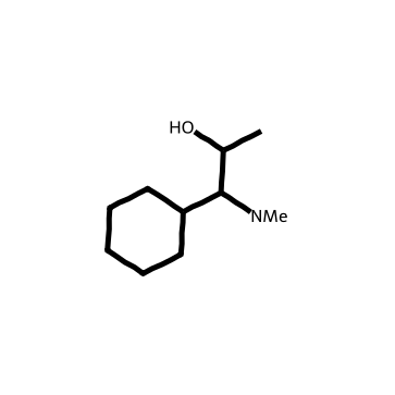 CNC(C(C)O)C1CCCCC1